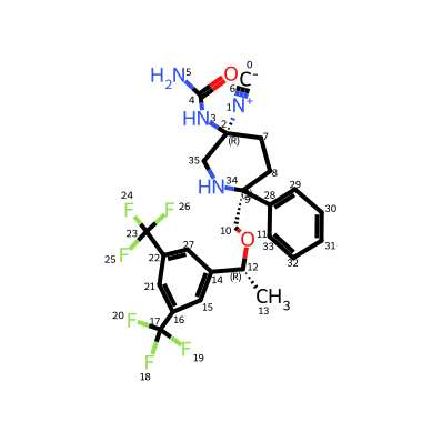 [C-]#[N+][C@]1(NC(N)=O)CC[C@@](CO[C@H](C)c2cc(C(F)(F)F)cc(C(F)(F)F)c2)(c2ccccc2)NC1